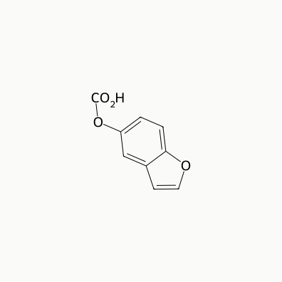 O=C(O)Oc1ccc2occc2c1